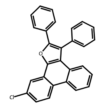 Clc1ccc2c3ccccc3c3c(-c4ccccc4)c(-c4ccccc4)oc3c2c1